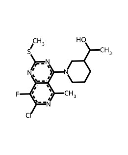 CSc1nc(N2CCCC(C(C)O)C2)c2c(C)nc(Cl)c(F)c2n1